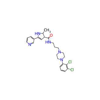 CC1NC(c2cccnc2)=CC1C(=O)NCCCN1CCN(c2cccc(Cl)c2Cl)CC1